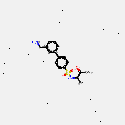 COC(=O)C(NS(=O)(=O)c1ccc(-c2cccc(CN)c2)cc1)C(C)C